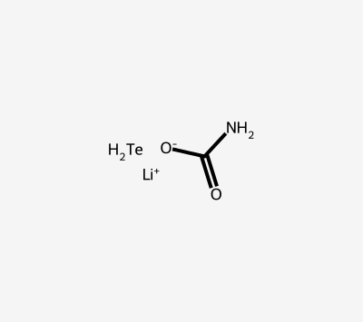 NC(=O)[O-].[Li+].[TeH2]